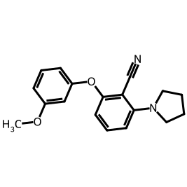 COc1cccc(Oc2cccc(N3CCCC3)c2C#N)c1